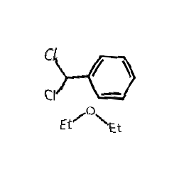 CCOCC.ClC(Cl)c1ccccc1